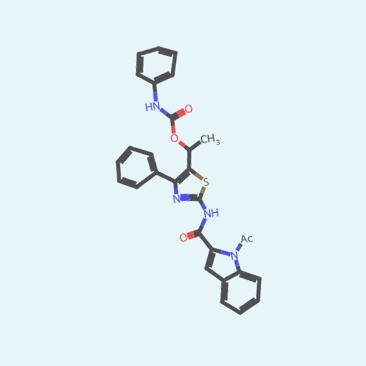 CC(=O)n1c(C(=O)Nc2nc(-c3ccccc3)c(C(C)OC(=O)Nc3ccccc3)s2)cc2ccccc21